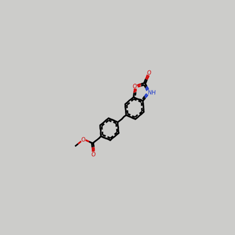 COC(=O)c1ccc(-c2ccc3[nH]c(=O)oc3c2)cc1